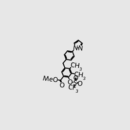 COC(=O)c1cc(Cc2ccc(-n3cccn3)cc2)c(C)c(C)c1OS(=O)(=O)C(F)(F)F